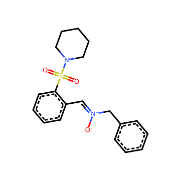 O=S(=O)(c1ccccc1C=[N+]([O-])Cc1ccccc1)N1CCCCC1